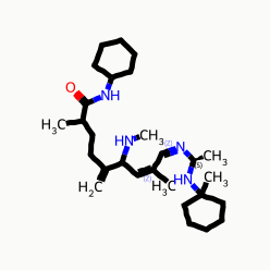 C=C(CCC(C)C(=O)NC1CCCCC1)C(/C=C(C)\C=N/[C@@H](C)NC1(C)CCCCC1)NC